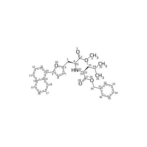 COC(=O)[C@H](Cc1ccc(-c2cccc3ccccc23)o1)N[C@@H](CC(C)C)C(=O)OCc1ccccc1